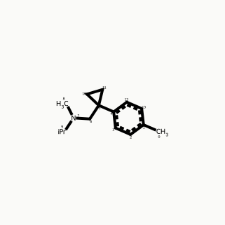 Cc1ccc(C2(CN(C)C(C)C)CC2)cc1